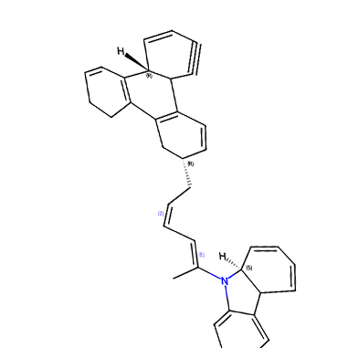 C/C(=C\C=C/C[C@H]1C=CC2=C(C1)C1=C(C=CCC1)[C@@H]1C=CC#CC21)N1c2ccccc2C2C=CC=C[C@@H]21